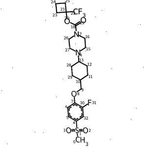 CS(=O)(=O)c1ccc(OCC2CCC(N3CCN(C(=O)OC4(C(F)(F)F)CCC4)CC3)CC2)c(F)c1